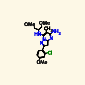 COCC(COC)Nc1c(C)c(N)nc2cc(-c3ccc(OC)cc3Cl)nn12